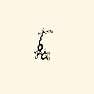 Cn1c(=O)n(C2CCC(=O)NC2=O)c2ccc(CCCCNC(=O)OC(C)(C)C)cc21